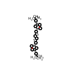 CC(C)(C)c1ccc(-n2c3ccccc3c3c(N(c4ccccc4)c4ccc5c(c4)sc4c5ccc5c4ccc4c6ccc(N(c7ccccc7)c7cccc8c7c7ccccc7n8-c7ccc(C(C)(C)C)cc7)cc6sc45)cccc32)cc1